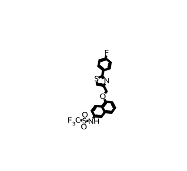 O=S(=O)(Nc1ccc2c(OCc3csc(-c4ccc(F)cc4)n3)cccc2c1)C(F)(F)F